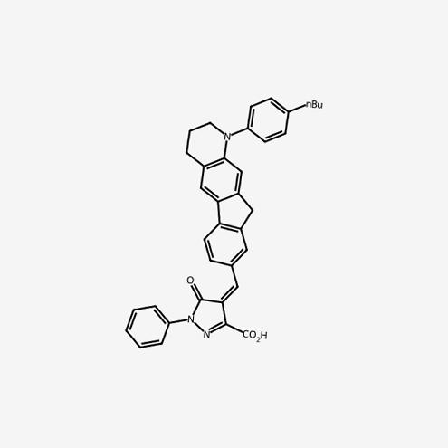 CCCCc1ccc(N2CCCc3cc4c(cc32)Cc2cc(/C=C3\C(=O)N(c5ccccc5)N=C3C(=O)O)ccc2-4)cc1